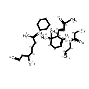 C1CCCCC1.C=C(C)CCCC(C)CC=O.C=CCOC(=O)CC.CC(=O)/C=C/C1C(C)=CCCC1(C)C